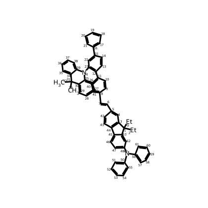 CCC1(CC)c2cc(/C=C/c3ccc(-c4ccc(-c5ccccc5)cc4N4c5ccccc5C(C)(C)c5ccccc54)cc3)ccc2-c2ccc(N(c3ccccc3)c3ccccc3)cc21